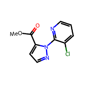 COC(=O)c1ccnn1-c1ncccc1Cl